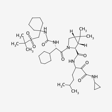 CC(C)CCC(NC(=O)[C@@H]1[C@@H]2[C@H](CN1C(=O)[C@@H](NC(=O)NC1(CS(=O)(=O)C(C)(C)C)CCCCC1)C1CCCCC1)C2(C)C)C(=O)C(=O)NC1CC1